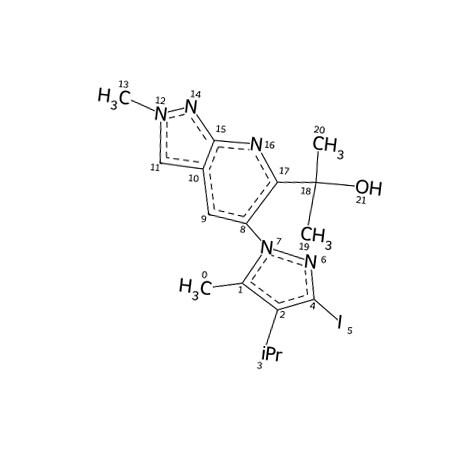 Cc1c(C(C)C)c(I)nn1-c1cc2cn(C)nc2nc1C(C)(C)O